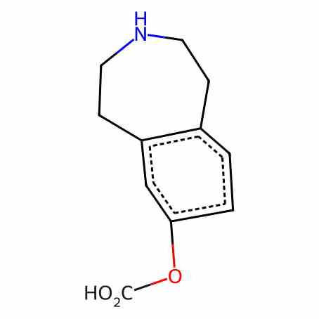 O=C(O)Oc1ccc2c(c1)CCNCC2